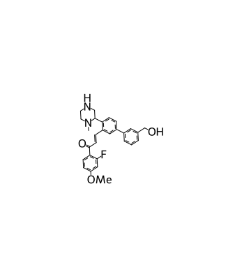 COc1ccc(C(=O)C=Cc2cc(-c3cccc(CO)c3)ccc2C2CNCCN2C)c(F)c1